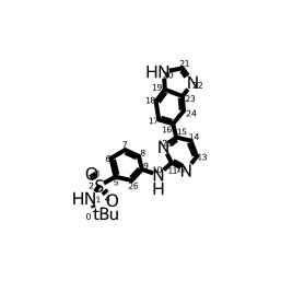 CC(C)(C)NS(=O)(=O)c1cccc(Nc2nccc(-c3ccc4[nH]cnc4c3)n2)c1